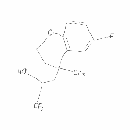 CC1(CC(O)C(F)(F)F)CCOc2ccc(F)cc21